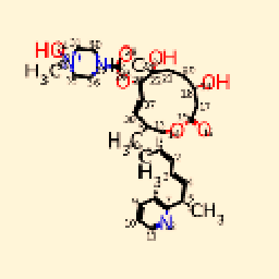 C/C(=C\C=C\[C@@H](C)c1ccccn1)[C@H]1OC(=O)C[C@H](O)CC[C@@](C)(O)[C@@H](OC(=O)N2CC[N+](C)(O)CC2)/C=C/[C@@H]1C